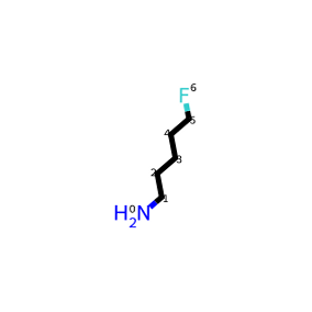 NCCCCCF